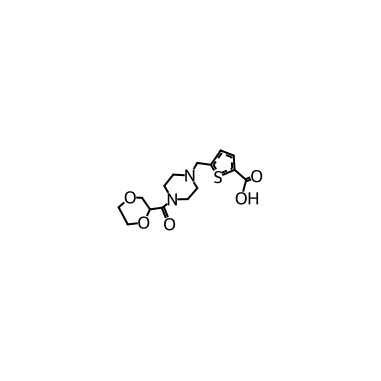 O=C(O)c1ccc(CN2CCN(C(=O)C3COCCO3)CC2)s1